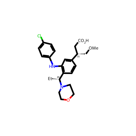 CC[C@H](c1ccc([C@@H](COC)CC(=O)O)cc1Nc1ccc(Cl)cc1)N1CCOCC1